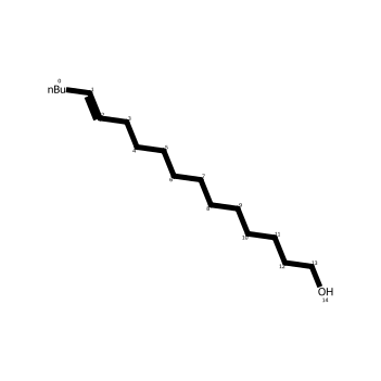 CCCC/C=C/CCCCCCCCCCCO